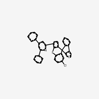 Clc1ccc2c(c1)C1(c3ccccc3-c3ccccc31)c1cccc(-c3cc(-c4ccccc4)cc(-c4ccccc4)n3)c1S2